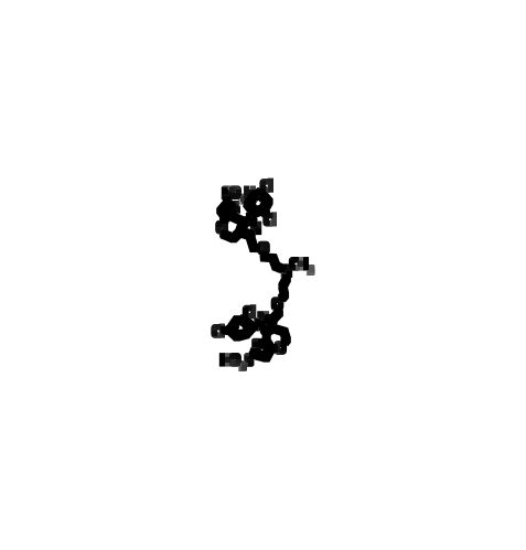 CN(CCCOCc1nn(-c2ccc(Cl)cc2Cl)c2c1CCOc1cc(S(=O)(=O)O)sc1-2)CCCOCc1nn(-c2ccc(Cl)cc2Cl)c2c1CCOc1cc(S(=O)(=O)O)sc1-2